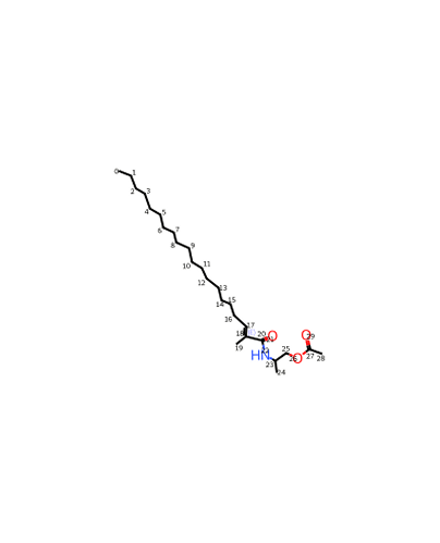 CCCCCCCCCCCCCCCCC/C=C(\C)C(=O)NC(C)COC(C)=O